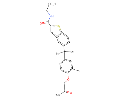 CCC(CC)(c1ccc(OCC(=O)C(C)(C)C)c(C)c1)c1ccc2sc(C(=O)NCC(=O)O)cc2c1